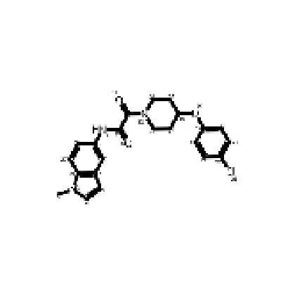 Cn1ccc2cc(NC(=O)C(=O)N3CCC(Oc4ccc(Cl)cc4)CC3)ccc21